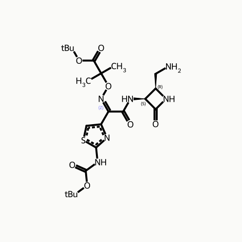 CC(C)(C)OC(=O)Nc1nc(/C(=N/OC(C)(C)C(=O)OC(C)(C)C)C(=O)N[C@@H]2C(=O)N[C@@H]2CN)cs1